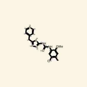 COc1cc(C)c(Cl)cc1NC(=O)Nc1nnc(Cc2ccncc2)s1